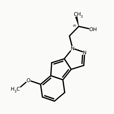 COC1=C2C=c3c(cnn3C[C@@H](C)O)=C2CC=C1